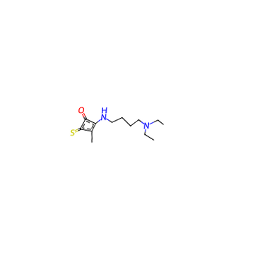 CCN(CC)CCCCNc1c(C)c(=S)c1=O